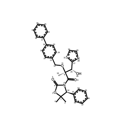 CC1(C)OC(=O)N(C(=O)[C@@](C)(OCc2ccc(-c3ccccc3)cc2)[C@@H](O)c2nccs2)[C@H]1c1ccccc1